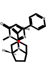 COC(=O)N1CC2CC[C@H](C1)N2c1nc(-c2ccncc2)cc(=O)n1C